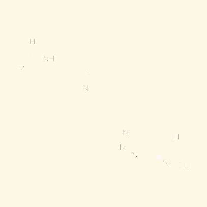 CC(=O)NC[C@H]1CN(c2ccc(-n3cc(/C(C)=N/O)nn3)c(F)c2)C(=O)O1